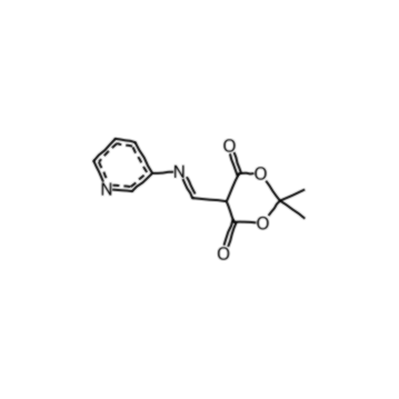 CC1(C)OC(=O)C(/C=N/c2cccnc2)C(=O)O1